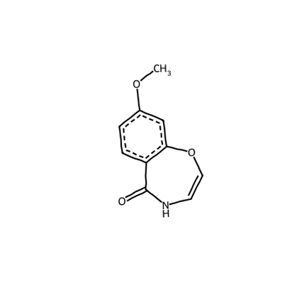 COc1ccc2c(c1)OC=CNC2=O